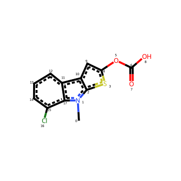 Cn1c2sc(OC(=O)O)cc2c2cccc(Cl)c21